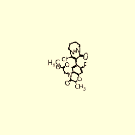 COC(=O)CN1C(=O)[C@H](C)Oc2cc(F)c(-c3c(Cl)n4n(c3=O)CCCC4)cc21